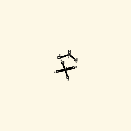 ClNCl.O=S(=O)(Cl)Cl